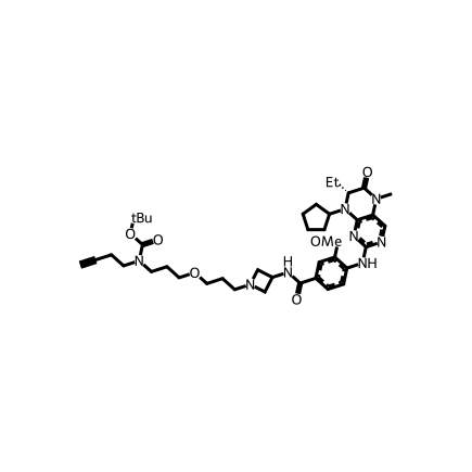 C#CCCN(CCCOCCCN1CC(NC(=O)c2ccc(Nc3ncc4c(n3)N(C3CCCC3)[C@H](CC)C(=O)N4C)c(OC)c2)C1)C(=O)OC(C)(C)C